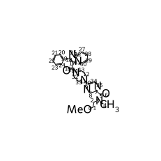 COCCN(C)C(=O)c1cnc(N2CCN(C(=O)c3c(-c4ccccc4)nc4ccccn34)CC2)cn1